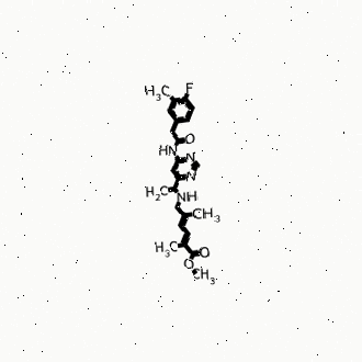 C=C(NC/C(C)=C/C=C(\C)C(=O)OC)c1cc(NC(=O)Cc2ccc(F)c(C)c2)ncn1